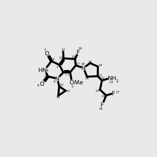 COC1=c2c(c(=O)[nH]c(=O)n2C2CC2)=C(C)C(F)C1N1CCC(C(N)CC(F)F)C1